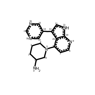 NC1CCCN(c2ccnc3[nH]cc(-c4cncnc4)c23)C1